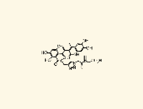 Cc1c(-c2coc3cc(O)c(O)c(C(=O)OCc4cn(CC(=O)NCC(=O)O)nn4)c3c2=O)c(=O)[nH]c2cc(O)c(O)cc12